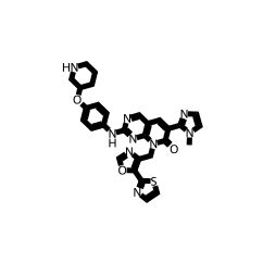 Cn1ccnc1-c1cc2cnc(Nc3ccc(OC4CCCNC4)cc3)nc2n(Cc2ncoc2-c2nccs2)c1=O